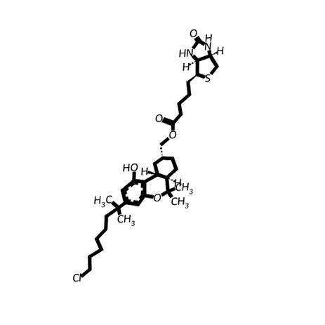 CC(C)(CCCCCCCl)c1cc(O)c2c(c1)OC(C)(C)[C@@H]1CC[C@@H](COC(=O)CCCC[C@@H]3SC[C@@H]4NC(=O)N[C@@H]43)C[C@@H]21